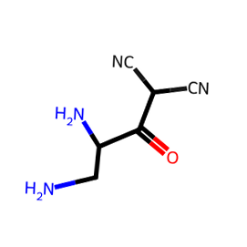 N#CC(C#N)C(=O)C(N)CN